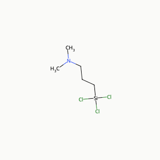 CN(C)CCC[Si](Cl)(Cl)Cl